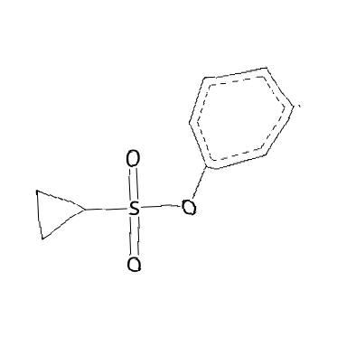 O=S(=O)(Oc1c[c]ccc1)C1CC1